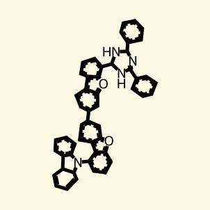 C1=CC2c3ccccc3N(c3cccc4oc5cc(-c6ccc7c(c6)oc6c(C8NC(c9ccccc9)=NC(c9ccccc9)N8)cccc67)ccc5c34)C2C=C1